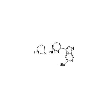 CC(C)(C)c1cn2c(-c3cccc(N[C@@H]4CCCNC4)n3)cnc2cn1